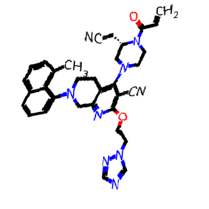 C=CC(=O)N1CCN(c2c(C#N)c(OCCn3cncn3)nc3c2CCN(c2cccc4cccc(C)c24)C3)C[C@@H]1CC#N